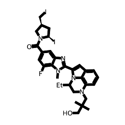 CCC1CN(CC(C)(C)CO)c2cccc3cc(-c4nc5cc(C(=O)N6C[C@@H](CI)C[C@H]6I)cc(F)c5n4C)n1c23